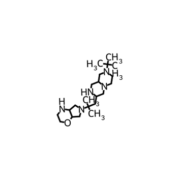 CC(C)(C)N1CCN2CC(CC(C)(C)N3CC4NCCOC4C3)NCC2C1